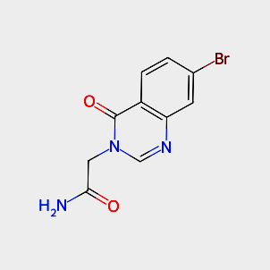 NC(=O)Cn1cnc2cc(Br)ccc2c1=O